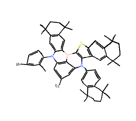 CCc1cc2c3c(c1)N(c1ccc4c(c1)C(C)(C)CCC4(C)C)c1c(sc4cc5c(cc14)C(C)(C)CCC5(C)C)B3c1cc3c(cc1N2c1ccc(C(C)(C)C)cc1C)C(C)(C)CCC3(C)C